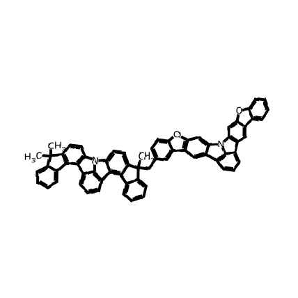 CC1(C)c2ccccc2-c2c1ccc1c2c2cccc3c4c5c(ccc4n1c23)C(C)(Cc1ccc2oc3cc4c(cc3c2c1)c1cccc2c3cc6c(cc3n4c21)oc1ccccc16)c1ccccc1-5